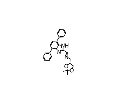 CC1(C)OCC(C/N=C/c2nc3c(-c4ccccc4)ccc(-c4ccccc4)c3[nH]2)O1